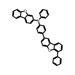 c1ccc(-c2cccc3c2oc2ccc(-c4ccc(N(c5ccccc5)c5ccc6c(c5)oc5ccccc56)cc4)cc23)cc1